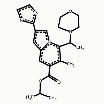 Cc1c(C(=O)OC(C)C)cc2cc(-c3nccs3)cn2c1C(C)N1CCOCC1